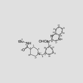 CC(C)(C)NC(=O)C1CCN(Cc2cccc(N(C=O)c3cnc4ccccc4n3)c2)CC1